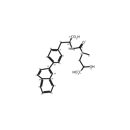 CN(CC(O)C(=O)O)C(=O)N[C@@H](Cc1ccc(-c2ccc3ccccc3c2)cc1)C(=O)O